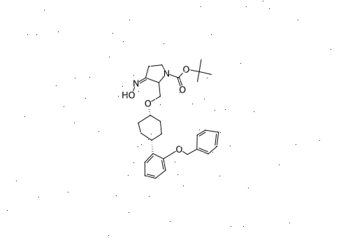 CC(C)(C)OC(=O)N1CC/C(=N/O)C1CO[C@H]1CC[C@@H](c2ccccc2OCc2ccccc2)CC1